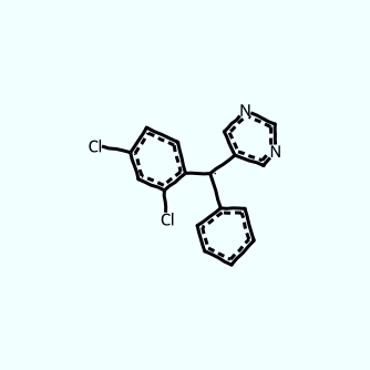 Clc1ccc([C](c2ccccc2)c2cncnc2)c(Cl)c1